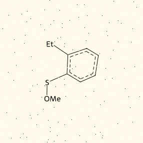 CCc1ccccc1SOC